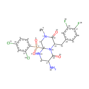 CC(C)N1CC2(S(=O)(=O)c3ccc(Cl)cc3Cl)NCC(N)C(=O)N2C(Cc2ccc(F)c(F)c2)C1=O